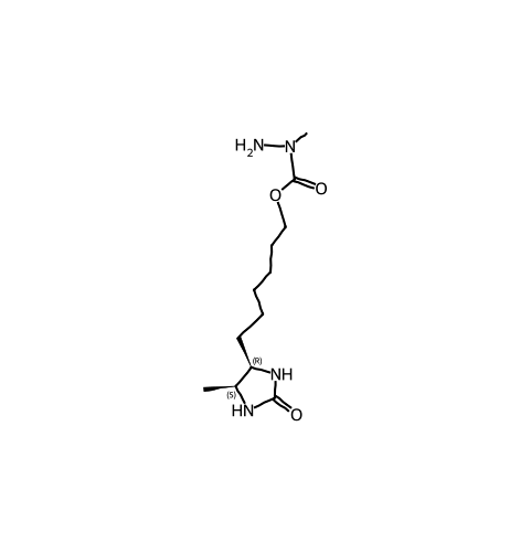 C[C@@H]1NC(=O)N[C@@H]1CCCCCCOC(=O)N(C)N